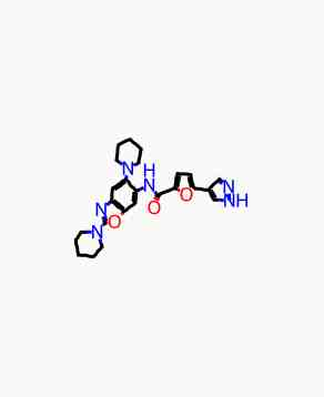 O=C(Nc1cc2oc(N3CCCCC3)nc2cc1N1CCCCC1)c1ccc(-c2cn[nH]c2)o1